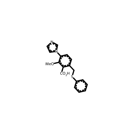 COc1c(-n2ccnc2)ccc(CSc2ccccc2)c1C(=O)O